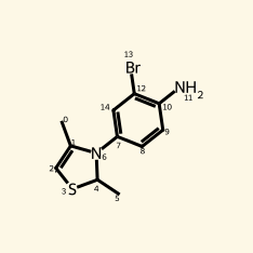 CC1=[C]SC(C)N1c1ccc(N)c(Br)c1